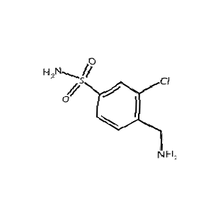 NCc1ccc(S(N)(=O)=O)cc1Cl